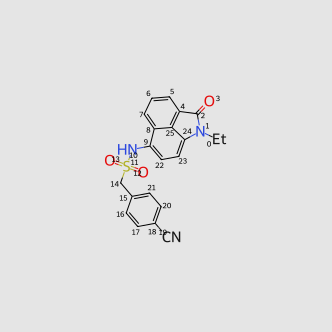 CCN1C(=O)c2cccc3c(NS(=O)(=O)Cc4ccc(C#N)cc4)ccc1c23